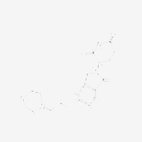 O=C1CCC(N2Cc3cc(OCCN4CCNCC4)ccc3C2=O)C(=O)N1